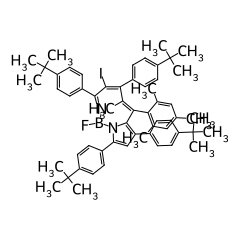 CC1=C(/c2c(C)cc(C)cc2C)c2c(-c3ccc(C(C)(C)C)cc3)cc(-c3ccc(C(C)(C)C)cc3)n2B(F)/N=C(c2ccc(C(C)(C)C)cc2)/C(I)=C\1c1ccc(C(C)(C)C)cc1